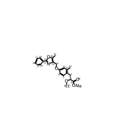 CCO[C@@H](Cc1ccc(OCc2nc(-c3ccccc3)oc2C)cc1C)C(=O)OC